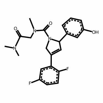 CN(C)C(=O)CN(C)C(=O)N1CC(c2cc(F)ccc2F)=CC1c1cccc(O)c1